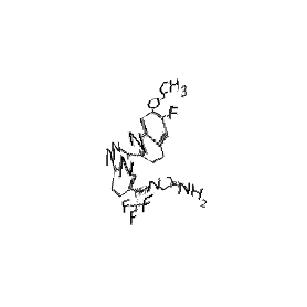 CCOc1cc2nc(-c3nnc4ccc([C@H](N5CC[C@@H](N)C5)C(F)(F)F)cn34)ccc2cc1F